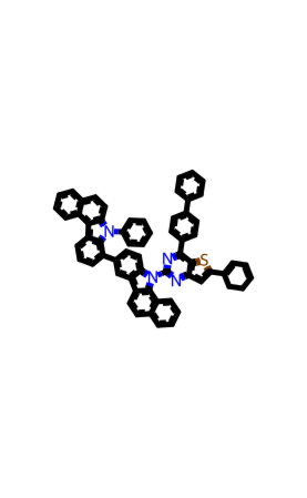 C1=CCCC(c2cc3nc(-n4c5ccc(-c6cccc7c8c9ccccc9ccc8n(-c8ccccc8)c67)cc5c5ccc6ccccc6c54)nc(-c4ccc(-c5ccccc5)cc4)c3s2)=C1